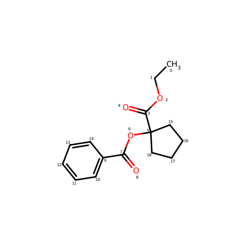 CCOC(=O)C1(OC(=O)c2ccccc2)CCCC1